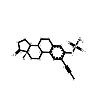 CC#Cc1cc2c(cc1OS(N)(=O)=O)CCC1C2CC[C@]2(C)C(=O)CCC12